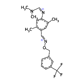 Cc1cc(/N=C\N(C)C)c(C)cc1/C=N/OCc1cccc(C(F)(F)F)c1